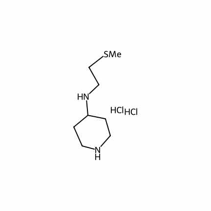 CSCCNC1CCNCC1.Cl.Cl